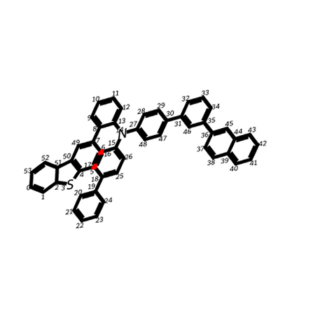 C1=CC2Sc3ccc(-c4ccccc4N(c4ccc(-c5ccccc5)cc4)c4ccc(-c5cccc(-c6ccc7ccccc7c6)c5)cc4)cc3C2C=C1